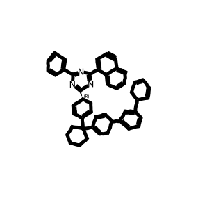 c1cc(-c2nc(-c3ccccc3)nc([C@H]3C=CC(C4(C5=CCC(c6cccc(C7C=CC=CC7)c6)C=C5)CCCCC4)=CC3)n2)c2ccccc2c#1